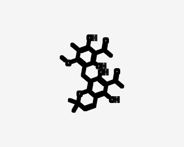 COc1c(C)c(O)c(C(C)=O)c(O)c1Cc1c(O)c(C(C)=O)c(O)c2c1OC(C)(C)C=C2